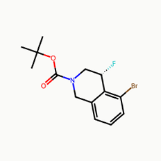 CC(C)(C)OC(=O)N1Cc2cccc(Br)c2[C@@H](F)C1